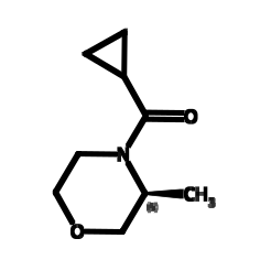 C[C@H]1COCCN1C(=O)C1CC1